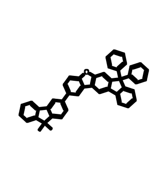 CC1(C)c2ccccc2-c2cc(-c3ccc4oc5cc6c(cc5c4c3)-c3ccccc3C6(c3ccccc3)c3ccccc3)ccc21